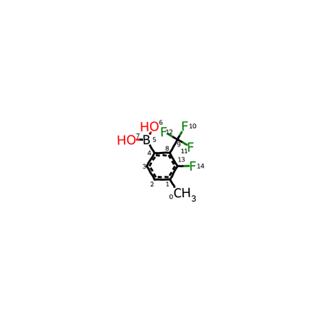 Cc1ccc(B(O)O)c(C(F)(F)F)c1F